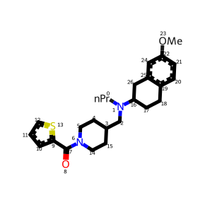 CCCN(CC1CCN(C(=O)c2cccs2)CC1)C1CCc2ccc(OC)cc2C1